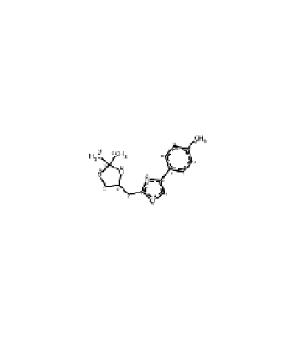 Cc1ccc(-c2coc(CC3COC(C)(C)O3)n2)cc1